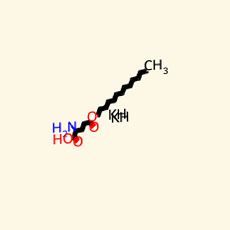 CCCCCCCCCCCCCCOC(=O)CC[C@H](N)C(=O)O.[KH].[KH]